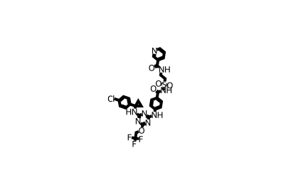 O=C(NCCS(=O)(=O)NC(=O)c1ccc(Nc2nc(NC3(c4ccc(Cl)cc4)CC3)nc(OCC(F)(F)F)n2)cc1)c1cccnc1